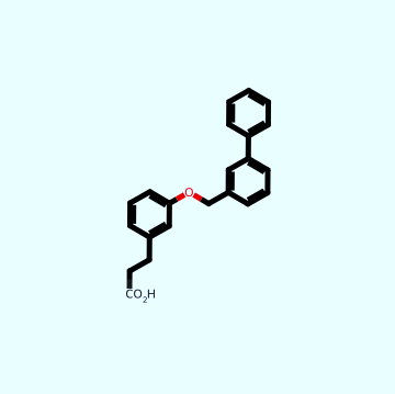 O=C(O)CCc1cccc(OCc2cccc(-c3ccccc3)c2)c1